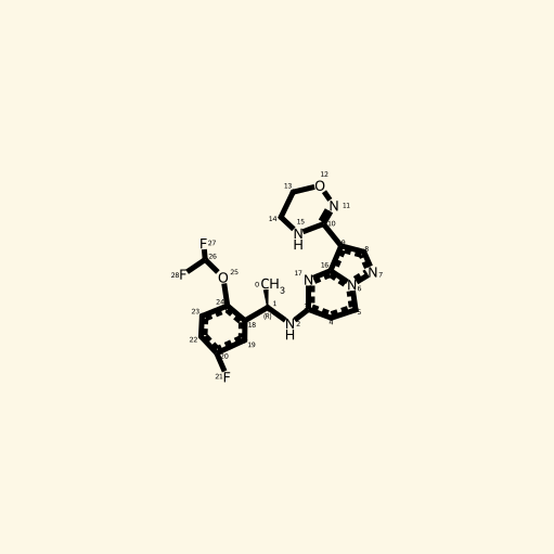 C[C@@H](Nc1ccn2ncc(C3=NOCCN3)c2n1)c1cc(F)ccc1OC(F)F